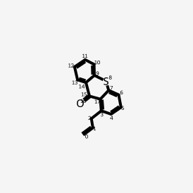 C=CCc1cccc2sc3ccccc3c(=O)c12